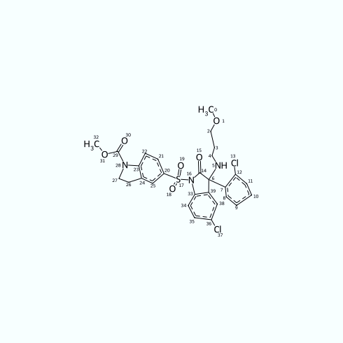 COCCCNC1(c2ccccc2Cl)C(=O)N(S(=O)(=O)c2ccc3c(c2)CCN3C(=O)OC)c2ccc(Cl)cc21